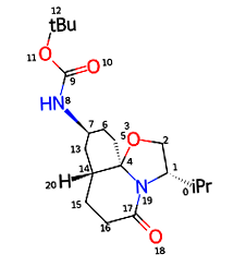 CC(C)[C@H]1CO[C@]23CC[C@H](NC(=O)OC(C)(C)C)C[C@H]2CCC(=O)N13